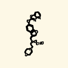 O=CON(CCN1CCOCC1)Cc1coc2cc(Oc3nc4ncccc4s3)ccc12